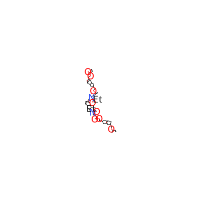 C=CC(=C)OCC1CC2CC1C1CC(COC(=O)CCN(CC3CC4C5CC(CN(CCC(=C)OCC6CC7C8CC(COC(=O)C=C)C(C8)C7C6)C(=O)CC)C(C5)C4C3)C(=O)CC)CC21